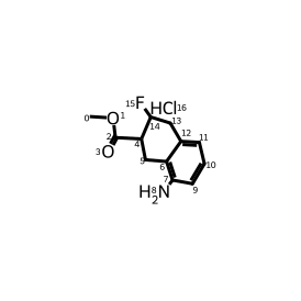 COC(=O)C1Cc2c(N)cccc2CC1F.Cl